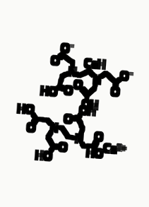 O=C(O)CN(CCN(CC(=O)O)CC(=O)O)CC(=O)O.O=C([O-])CN(CC(=O)O)C[CH]([CaH])N(CC(=O)[O-])CC(=O)O.[Ca+2]